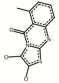 Cc1cccc2nc3sc(Cl)c(Cl)n3c(=O)c12